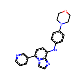 c1cncc(-c2ccc(Nc3ccc(N4CCOCC4)cc3)c3nccn23)c1